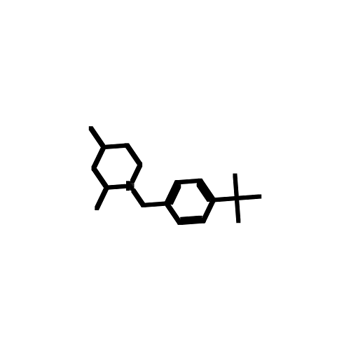 CC1CCN(Cc2ccc(C(C)(C)C)cc2)C(C)C1